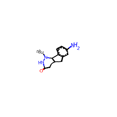 CCCCN1NC(=O)CC2Cc3cc(N)ccc3C21